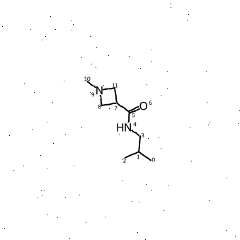 CC(C)CNC(=O)C1CN(C)C1